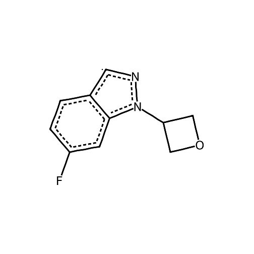 Fc1ccc2[c]nn(C3COC3)c2c1